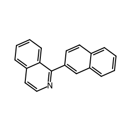 c1ccc2cc(-c3nccc4ccccc34)ccc2c1